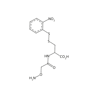 NOCC(=O)NC(CSSc1ccccc1[N+](=O)[O-])C(=O)O